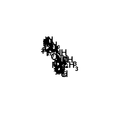 CC(C)c1c(NC(=O)Nc2cnc(-n3nccn3)c(C(F)(F)F)c2)cnc2ccc(Cl)nc12